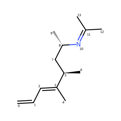 C=C/C=C(\C)[C@H](C)C[C@H](C)N=C(C)C